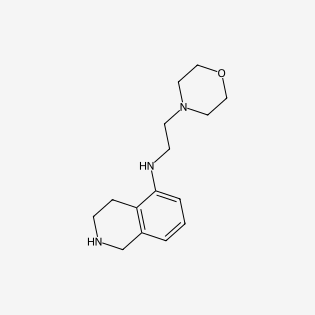 c1cc2c(c(NCCN3CCOCC3)c1)CCNC2